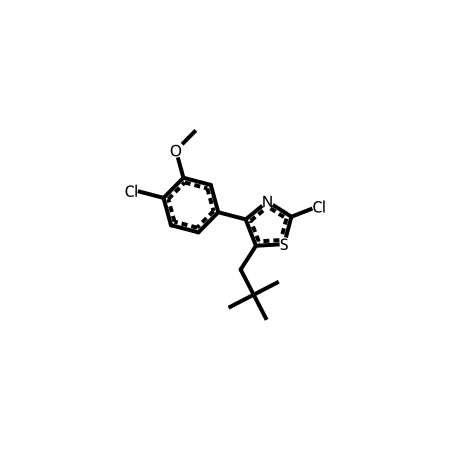 COc1cc(-c2nc(Cl)sc2CC(C)(C)C)ccc1Cl